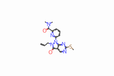 C=CCn1c(=O)c2cnc(SC)nc2n1-c1cccc(C(=O)N(C)C)n1